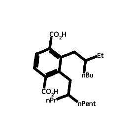 CCCCCC(CCC)Cc1c(C(=O)O)ccc(C(=O)O)c1CC(CC)CCCC